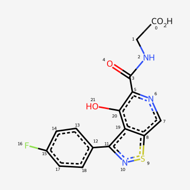 O=C(O)CNC(=O)c1ncc2snc(-c3ccc(F)cc3)c2c1O